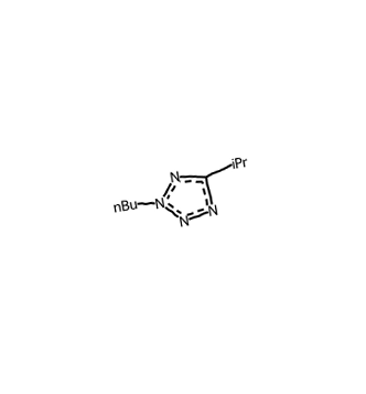 CCCCn1nnc(C(C)C)n1